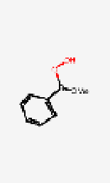 COB(OO)c1ccccc1